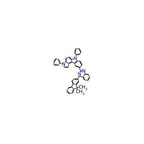 CC1(C)c2ccccc2-c2ccc(-c3nc(-c4ccc5c(c4)c4c6ccn(-c7ccccc7)c6ccc4n5-c4ccccc4)nc4ccccc34)cc21